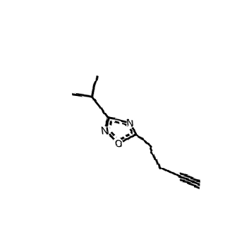 C#CCCc1nc(C(C)C)no1